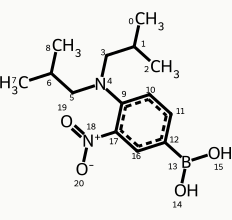 CC(C)CN(CC(C)C)c1ccc(B(O)O)cc1[N+](=O)[O-]